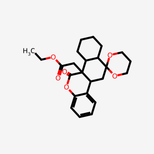 CCOC(=O)CC12C(=O)Oc3ccccc3C1CC1(OCCCO1)C1CCCCC12